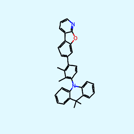 Cc1c(-c2ccc3c(c2)oc2ncccc23)ccc(N2c3ccccc3C(C)(C)c3ccccc32)c1C